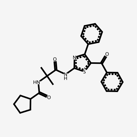 CC(C)(NC(=O)C1CCCC1)C(=O)Nc1nc(-c2ccccc2)c(C(=O)c2ccccc2)s1